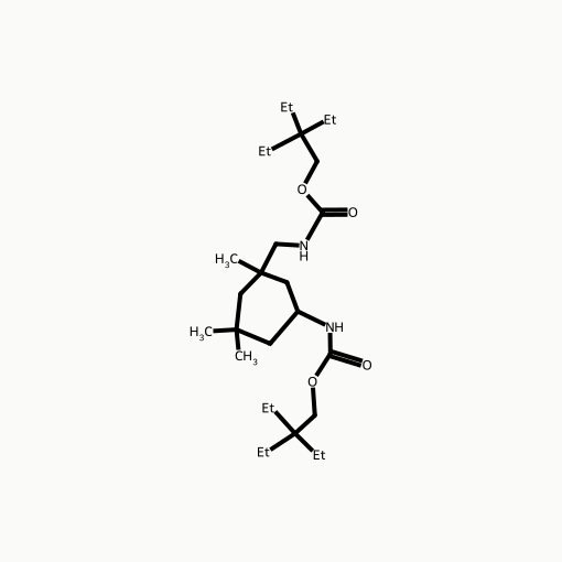 CCC(CC)(CC)COC(=O)NCC1(C)CC(NC(=O)OCC(CC)(CC)CC)CC(C)(C)C1